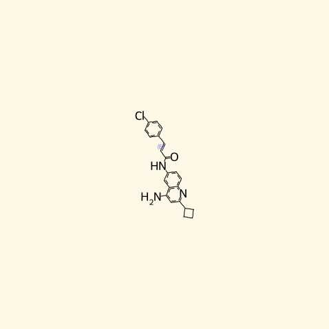 Nc1cc(C2CCC2)nc2ccc(NC(=O)/C=C/c3ccc(Cl)cc3)cc12